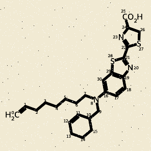 C=CCCCCCCN(CC1C=CCCC1)c1ccc2nc(C3=NC(C(=O)O)CS3)sc2c1